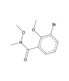 COc1c(Br)cccc1C(=O)N(C)OC